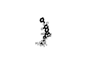 Cn1nncc1C(O)(c1ccc2nc(Cl)c(OCc3ccccc3)c(Cl)c2c1)C1CN(C(=O)OC(C)(C)C)C1